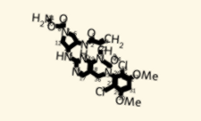 C=CC(=O)NC1CN(C(=O)ON)CC1Nc1ncc2c(n1)N(C)C(=O)N(c1c(Cl)c(OC)cc(OC)c1Cl)C2